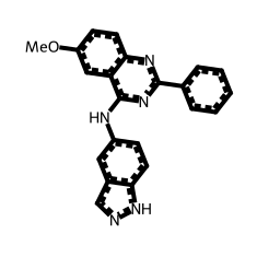 COc1ccc2nc(-c3ccccc3)nc(Nc3ccc4[nH]ncc4c3)c2c1